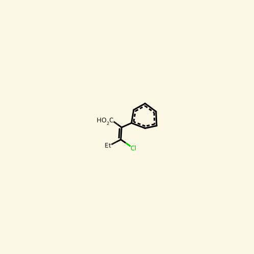 CCC(Cl)=C(C(=O)O)c1ccccc1